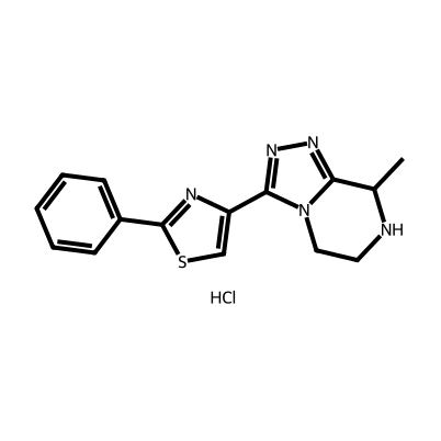 CC1NCCn2c(-c3csc(-c4ccccc4)n3)nnc21.Cl